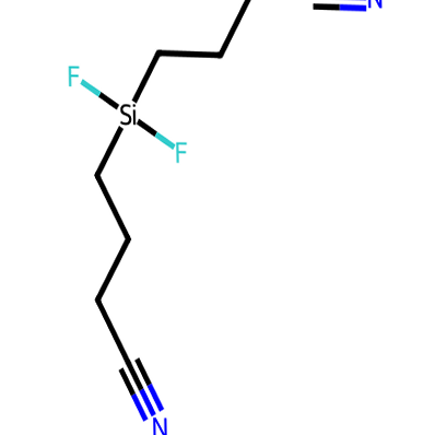 N#CCCC[Si](F)(F)CCCC#N